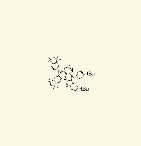 Cc1cc2c3c(n1)N(c1ccc(C(C)(C)C)cc1)c1c(sc4ccc(C(C)(C)C)cc14)B3c1cc3c(cc1N2c1ccc2c(c1)C(C)(C)CC2(C)C)C(C)(C)CC3(C)C